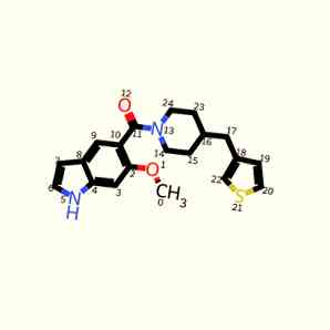 COc1cc2[nH]ccc2cc1C(=O)N1CCC(Cc2ccsc2)CC1